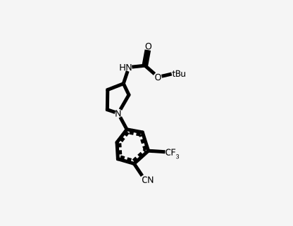 CC(C)(C)OC(=O)NC1CCN(c2ccc(C#N)c(C(F)(F)F)c2)C1